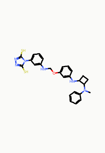 CN(c1ccccc1)C1CCC1Nc1cccc(OCNc2cccc(-n3c(S)nnc3S)c2)c1